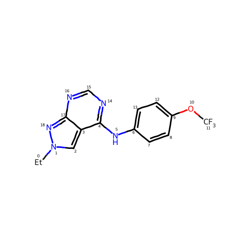 CCn1cc2c(Nc3ccc(OC(F)(F)F)cc3)ncnc2n1